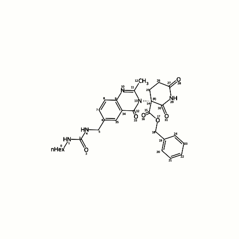 CCCCCCNC(=O)NCc1ccc2nc(C)n([C@]3(C(=O)OCc4ccccc4)CCC(=O)NC3=O)c(=O)c2c1